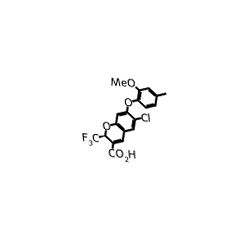 COc1cc(C)ccc1Oc1cc2c(cc1Cl)C=C(C(=O)O)[C@@H](C(F)(F)F)O2